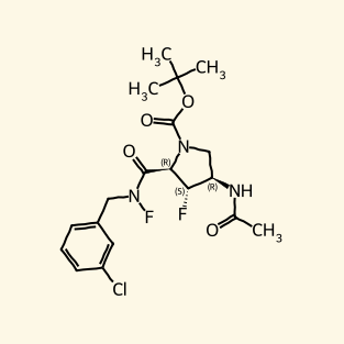 CC(=O)N[C@@H]1CN(C(=O)OC(C)(C)C)[C@H](C(=O)N(F)Cc2cccc(Cl)c2)[C@H]1F